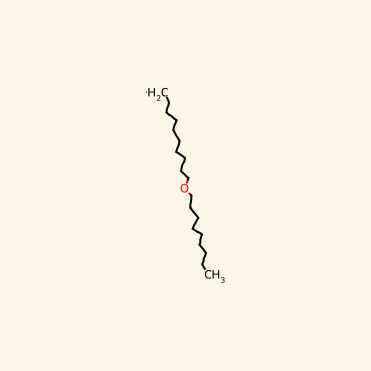 [CH2]CCCCCCCCCOCCCCCCCCC